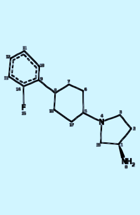 N[C@@H]1CCN(C2CCC(c3ccccc3F)CC2)C1